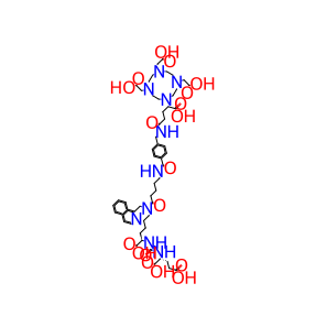 O=C(O)CC[C@@H](NC(=O)N[C@H](CCCCN(Cc1nccc2ccccc12)C(=O)CCCCNC(=O)c1ccc(CNC(=O)CCC(C(=O)O)N2CCN(CC(=O)O)CCN(CC(=O)O)CCN(CC(=O)O)CC2)cc1)C(=O)O)C(=O)O